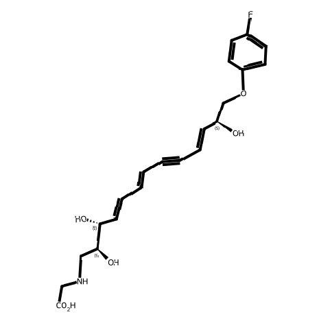 O=C(O)CNC[C@H](O)[C@H](O)C=CC=CC#CC=C[C@H](O)COc1ccc(F)cc1